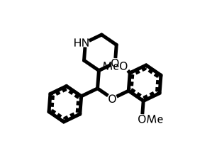 COc1cccc(OC)c1OC(c1ccccc1)C1CNCCO1